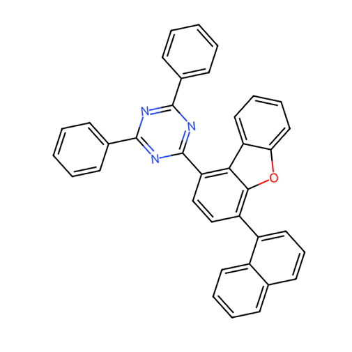 c1ccc(-c2nc(-c3ccccc3)nc(-c3ccc(-c4cccc5ccccc45)c4oc5ccccc5c34)n2)cc1